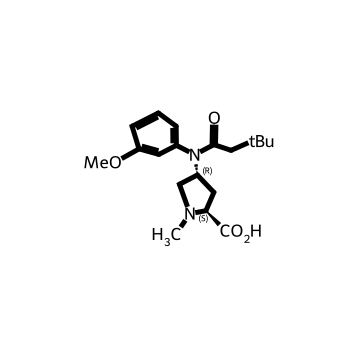 COc1cccc(N(C(=O)CC(C)(C)C)[C@@H]2C[C@@H](C(=O)O)N(C)C2)c1